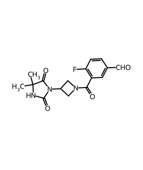 CC1(C)NC(=O)N(C2CN(C(=O)c3cc(C=O)ccc3F)C2)C1=O